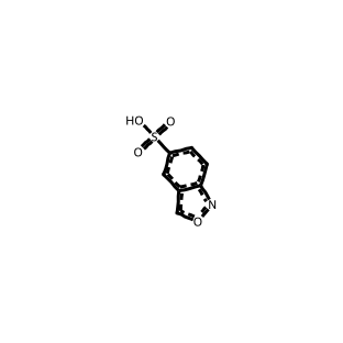 O=S(=O)(O)c1ccc2nocc2c1